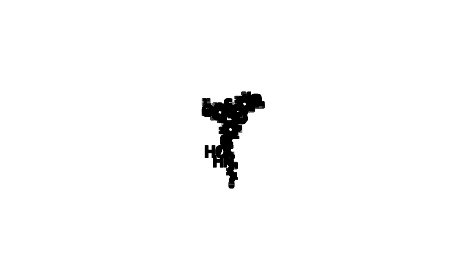 CCCCNCC(O)COc1ccc(C(=O)c2c(-c3ccc(OC)cc3)sc3cc(OC)ccc23)cc1